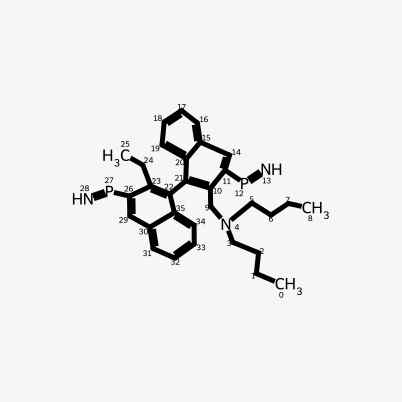 CCCCN(CCCC)Cc1c(P=N)cc2ccccc2c1-c1c(CC)c(P=N)cc2ccccc12